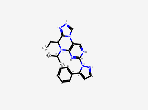 CCC1c2nncn2-c2cnc(-n3nccc3-c3ccccc3)nc2N1C(C)C